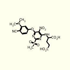 CN(C)c1cc(Oc2nc(S(C)(=O)=O)nc(NC(CCC(=O)O)C(=O)O)c2[N+](=O)[O-])ccc1C#N